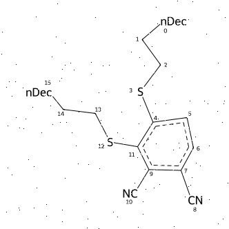 CCCCCCCCCCCCSc1ccc(C#N)c(C#N)c1SCCCCCCCCCCCC